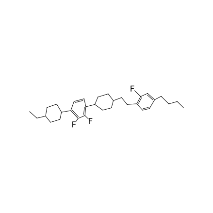 CCCCc1ccc(CCC2CCC(c3ccc(C4CCC(CC)CC4)c(F)c3F)CC2)c(F)c1